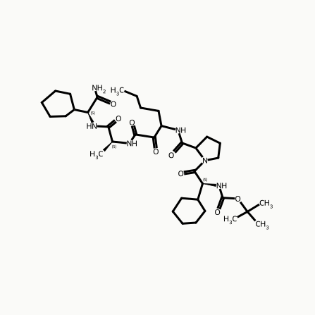 CCCCC(NC(=O)C1CCCN1C(=O)[C@@H](NC(=O)OC(C)(C)C)C1CCCCC1)C(=O)C(=O)N[C@@H](C)C(=O)N[C@H](C(N)=O)C1CCCCC1